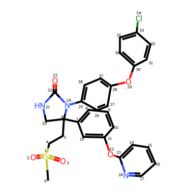 CS(=O)(=O)CCC1(c2cccc(Oc3ccccn3)c2)CNC(=O)N1c1ccc(Oc2ccc(Cl)cc2)cc1